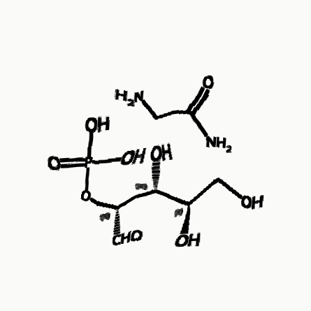 NCC(N)=O.O=C[C@H](OP(=O)(O)O)[C@H](O)[C@H](O)CO